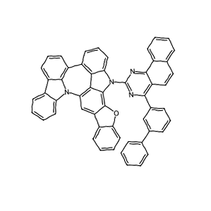 c1ccc(-c2cccc(-c3nc(-n4c5cccc6c7cccc8c9ccccc9n(c9cc%10c%11ccccc%11oc%10c4c9c65)c78)nc4c3ccc3ccccc34)c2)cc1